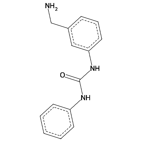 NCc1cccc(NC(=O)Nc2ccccc2)c1